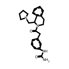 NC(=O)Nc1cccc(CC(=O)N2CCc3ccccc3C2CN2CCCC2)c1